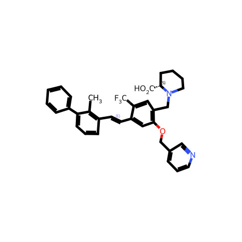 Cc1c(/C=C/c2cc(OCc3cccnc3)c(CN3CCCC[C@H]3C(=O)O)cc2C(F)(F)F)cccc1-c1ccccc1